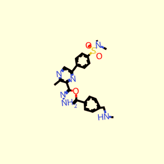 C=C(O/C(=N\N)c1nc(-c2ccc(S(=O)(=O)N(C)C)cc2)cnc1C)c1ccc(CNC)cc1